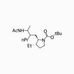 CCCC(C[C@@H]1[C@@H](CC)CCN1C(=O)OC(C)(C)C)C(C)NC(C)=O